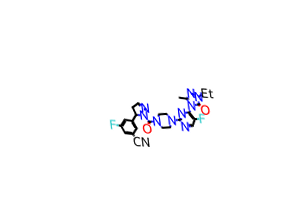 CCn1nc(C)n(-c2nc(N3CCN(C(=O)N4N=CCC4c4cc(F)cc(C#N)c4)CC3)ncc2F)c1=O